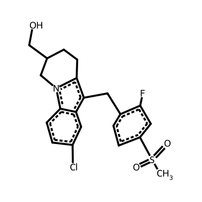 CS(=O)(=O)c1ccc(Cc2c3n(c4ccc(Cl)cc24)CC(CO)CC3)c(F)c1